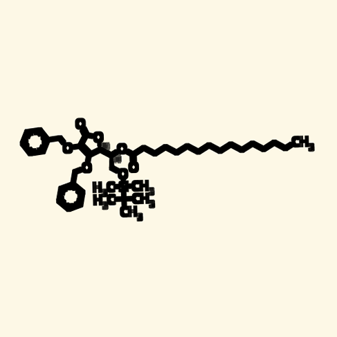 CCCCCCCCCCCCCCCC(=O)O[C@@H](CO[Si](C)(C)C(C)(C)C)[C@H]1OC(=O)C(OCc2ccccc2)=C1OCc1ccccc1